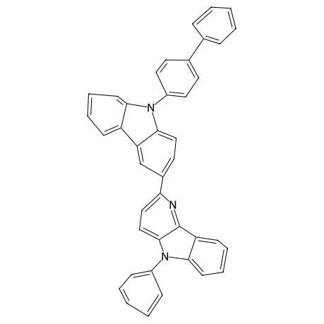 c1ccc(-c2ccc(-n3c4ccccc4c4cc(-c5ccc6c(n5)c5ccccc5n6-c5ccccc5)ccc43)cc2)cc1